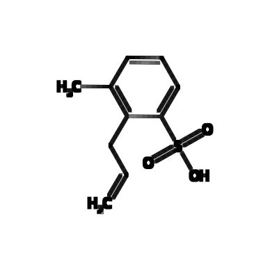 C=CCc1c(C)cccc1S(=O)(=O)O